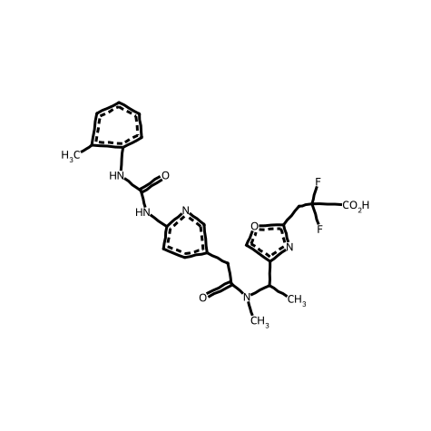 Cc1ccccc1NC(=O)Nc1ccc(CC(=O)N(C)C(C)c2coc(CC(F)(F)C(=O)O)n2)cn1